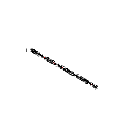 CS(=S)(=S)SSSSSSSSSSSSSSSSSSSSSSSSSSSSSSSSSSSSSSSSSSSSSSSSSSSSSSSSSSSSSSSSSSSSSSSSSSSSSSSSSS